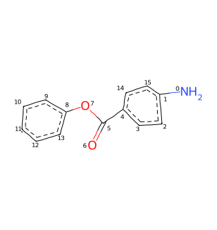 Nc1ccc(C(=O)Oc2cc[c]cc2)cc1